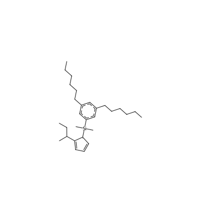 CCCCCCc1cc(CCCCCC)cc([Si](C)(C)[C]2C=CC=C2C(C)CC)c1